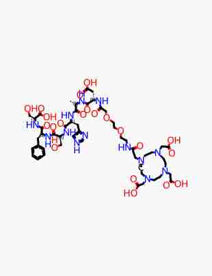 C[C@H](NC(=O)[C@H](CC(=O)O)NC(=O)COCCOCCNC(=O)CN1CCN(CC(=O)O)CCN(CC(=O)O)CCN(CC(=O)O)CC1)C(=O)N[C@@H](Cc1c[nH]cn1)C(=O)N[C@@H](CO)C(=O)N[C@@H](Cc1ccccc1)C(=O)N[C@@H](CO)C(=O)O